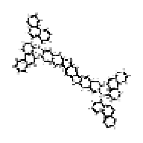 c1ccc2c(c1)ccc1c(N(c3ccc4cc5c(cc4c3)oc3cc4c(cc35)oc3cc5cc(N(c6cccc7c6ccc6ccccc67)c6cccc7c6ccc6ccccc67)ccc5cc34)c3cccc4c3ccc3ccccc34)cccc12